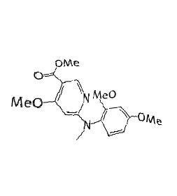 COC(=O)c1cnc(N(C)c2ccc(OC)cc2OC)cc1OC